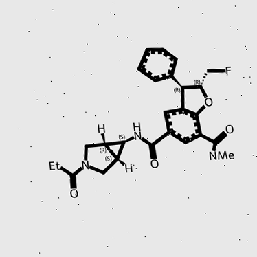 CCC(=O)N1C[C@@H]2[C@H](C1)[C@H]2NC(=O)c1cc(C(=O)NC)c2c(c1)[C@@H](c1ccccc1)[C@H](CF)O2